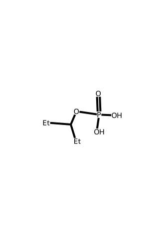 [CH2]CC(CC)OP(=O)(O)O